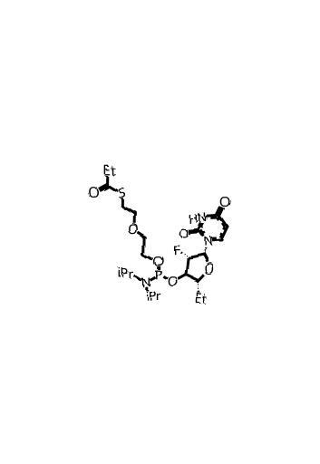 CCC(=O)SCCOCCOP(OC1[C@@H](CC)O[C@@H](n2ccc(=O)[nH]c2=O)[C@H]1F)N(C(C)C)C(C)C